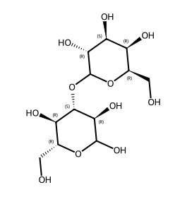 OC[C@H]1OC(O[C@H]2[C@H](O)[C@@H](CO)OC(O)[C@@H]2O)[C@H](O)[C@@H](O)[C@H]1O